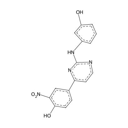 O=[N+]([O-])c1cc(-c2ccnc(Nc3cccc(O)c3)n2)ccc1O